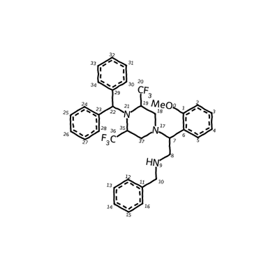 COc1ccccc1C(CNCc1ccccc1)N1CC(C(F)(F)F)N(C(c2ccccc2)c2ccccc2)C(C(F)(F)F)C1